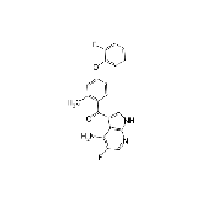 Cc1cc(Oc2ccccc2F)ccc1C(=O)c1c[nH]c2ncc(F)c(N)c12